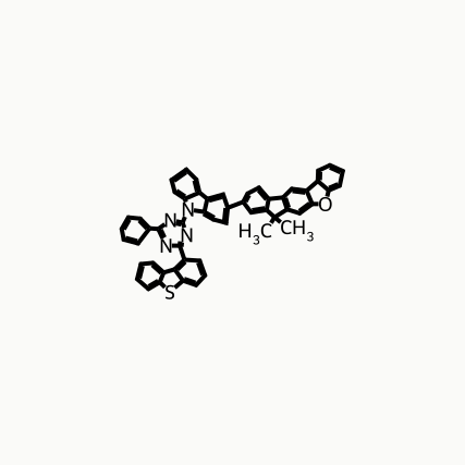 CC1(C)c2cc(-c3ccc4c(c3)c3ccccc3n4-c3nc(-c4ccccc4)nc(-c4cccc5sc6ccccc6c45)n3)ccc2-c2cc3c(cc21)oc1ccccc13